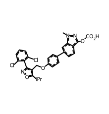 CC(C)c1onc(-c2c(Cl)cccc2Cl)c1COc1ccc(-c2ccc3c(OC(=O)O)nn(C)c3c2)cc1